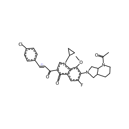 COc1c(N2CC3CCCN(C(C)=O)C3C2)c(F)cc2c(=O)c(C(=O)/C=C/c3ccc(Cl)cc3)cn(C3CC3)c12